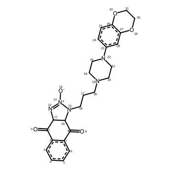 O=C1c2ccccc2C(=O)C2C1N=[N+]([O-])N2CCCN1CCN(c2ccc3c(c2)OCCO3)CC1